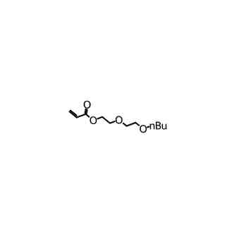 C=CC(=O)OCCOCCOCCCC